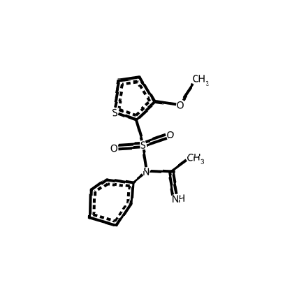 COc1ccsc1S(=O)(=O)N(C(C)=N)c1ccccc1